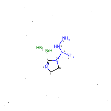 Br.Br.NNN(N)N1C=NCC1